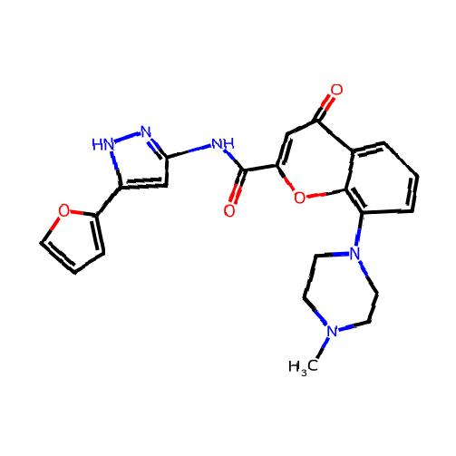 CN1CCN(c2cccc3c(=O)cc(C(=O)Nc4cc(-c5ccco5)[nH]n4)oc23)CC1